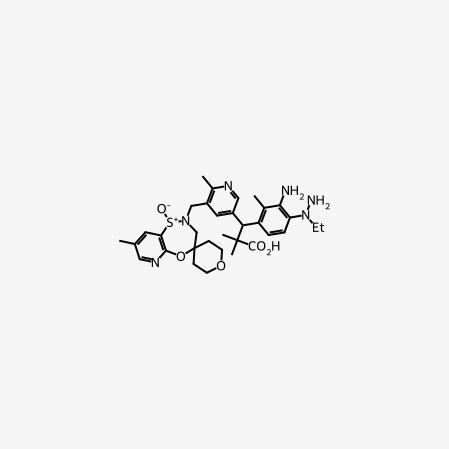 CCN(N)c1ccc(C(c2cnc(C)c(CN3CC4(CCOCC4)Oc4ncc(C)cc4[S+]3[O-])c2)C(C)(C)C(=O)O)c(C)c1N